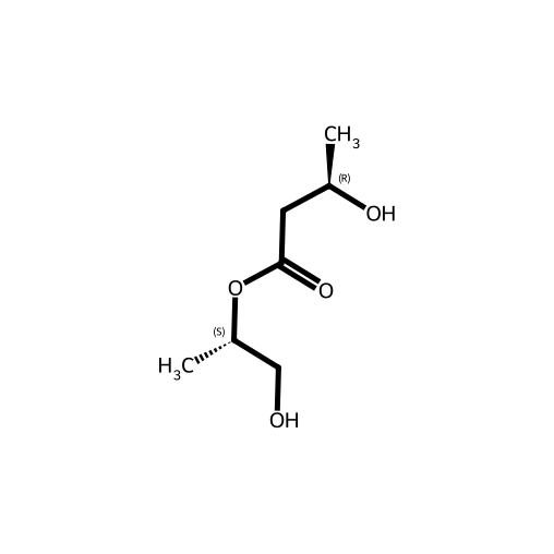 C[C@@H](O)CC(=O)O[C@@H](C)CO